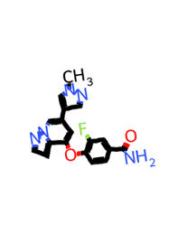 Cn1cc(-c2cc(Oc3ccc(C(N)=O)cc3F)c3ccnn3c2)cn1